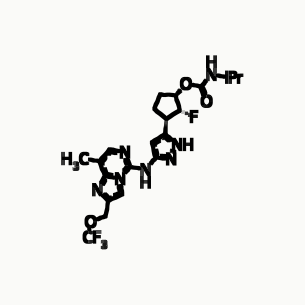 Cc1cnc(Nc2cc([C@H]3CC[C@@H](OC(=O)NC(C)C)[C@@H]3F)[nH]n2)n2cc(COC(F)(F)F)nc12